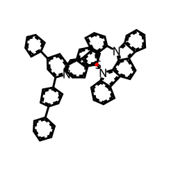 c1ccc(-c2ccc(-c3cc(-c4ccccc4)cc(-c4cccc(-n5c6ccccc6c6ccc7c8ccccc8n(-c8cccc9c8sc8ccccc89)c7c65)c4)n3)cc2)cc1